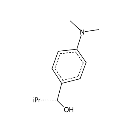 CC(C)[C@@H](O)c1ccc(N(C)C)cc1